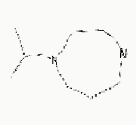 CC(C)N1CCC[N]CC1